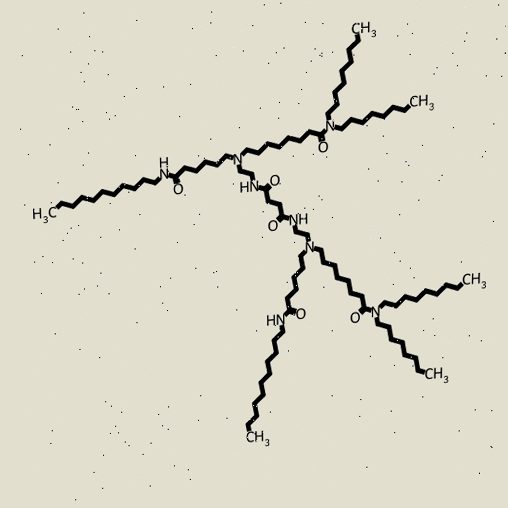 CCCCCCCCCCCNC(=O)CCCCCN(CCCCCCCC(=O)N(CCCCCCCC)CCCCCCCCC)CCNC(=O)CCC(=O)NCCN(CCCCCCCC(=O)N(CCCCCCCC)CCCCCCCCC)CCCCCC(=O)NCCCCCCCCCCC